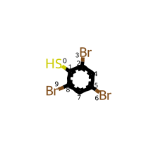 Sc1c(Br)cc(Br)cc1Br